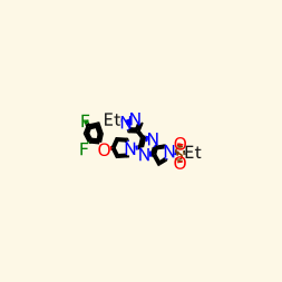 CCn1cc(-c2nc3c(nc2N2CCC(Oc4ccc(F)cc4F)CC2)CCN(S(=O)(=O)CC)C3)cn1